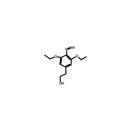 CCOc1cc(CCO)cc(OCC)c1N=N